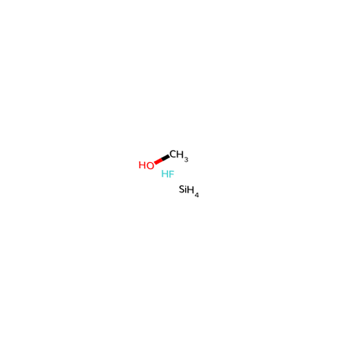 CO.F.[SiH4]